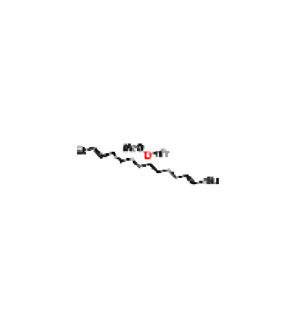 CC/C=C/CCCCCCCC/C=C/CCCC.CCCOOC